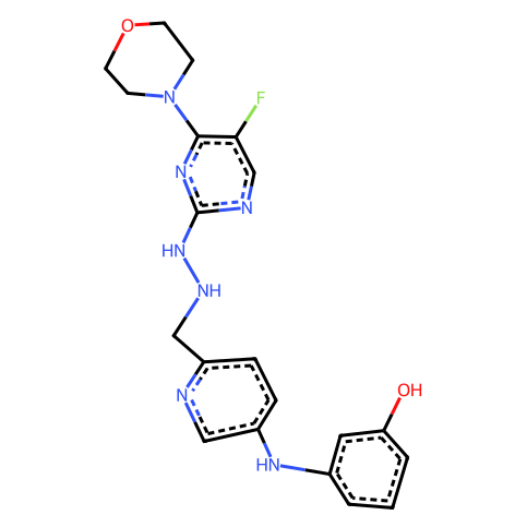 Oc1cccc(Nc2ccc(CNNc3ncc(F)c(N4CCOCC4)n3)nc2)c1